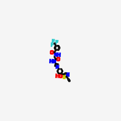 C#Cc1ncc([C@]2(O)CC[C@H](N3CC(NC(=O)CNC(=O)c4cccc(C(F)(F)F)c4)C3)CC2)s1